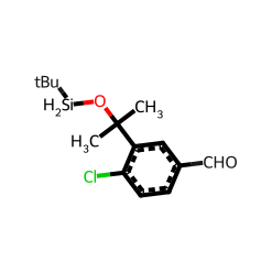 CC(C)(C)[SiH2]OC(C)(C)c1cc(C=O)ccc1Cl